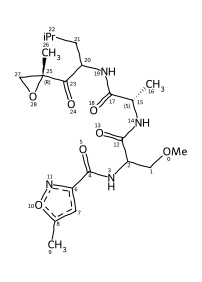 COCC(NC(=O)c1cc(C)on1)C(=O)N[C@@H](C)C(=O)NC(CC(C)C)C(=O)[C@@]1(C)CO1